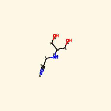 N#CCNC(CO)CO